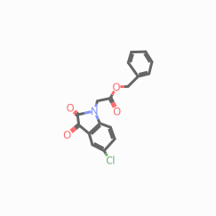 O=C(CN1C(=O)C(=O)c2cc(Cl)ccc21)OCc1ccccc1